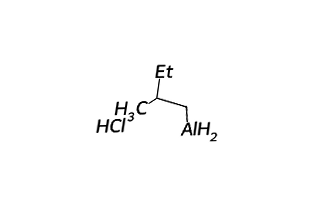 CCC(C)[CH2][AlH2].Cl